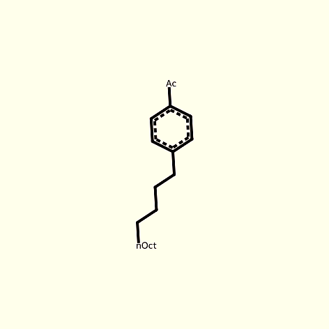 [CH2]C(=O)c1ccc(CCCCCCCCCCCC)cc1